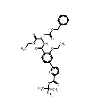 CCOC(=O)[C@H](CC(=O)OCc1ccccc1)NC(=O)c1ccc(-c2ccc(C(=O)OC(C)(C)C)o2)cc1OCC